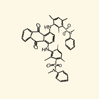 Cc1cc(C)c(S(=O)(=O)N(C)c2ccccc2)c(C)c1Nc1ccc(Nc2c(C)cc(C)c(S(=O)(=O)N(C)c3ccccc3)c2C)c2c1C(=O)c1ccccc1C2=O